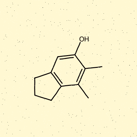 Cc1c(O)cc2c(c1C)CCC2